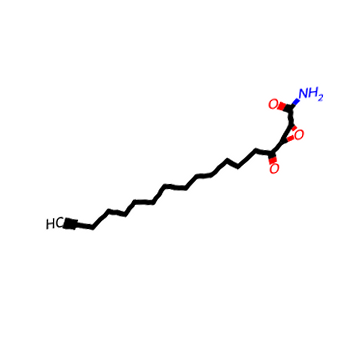 C#CCCCCCCCCCCCCC(=O)C1OC1C(N)=O